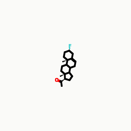 CC(=O)[C@H]1CCC2C3CC=C4C[C@@H](F)CC[C@]4(C)C3CC[C@@]21C